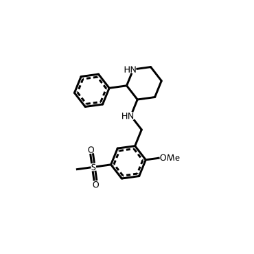 COc1ccc(S(C)(=O)=O)cc1CNC1CCCNC1c1ccccc1